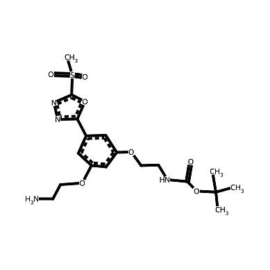 CC(C)(C)OC(=O)NCCOc1cc(OCCN)cc(-c2nnc(S(C)(=O)=O)o2)c1